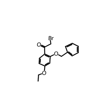 CCOc1ccc(C(=O)CBr)c(OCc2ccccc2)c1